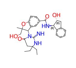 CCC1(CC)CC(=O)N(C2c3cc(C(=O)N[C@@H]4c5ccccc5C[C@H]4O)ccc3OC2(C)CO)C(=N)N1